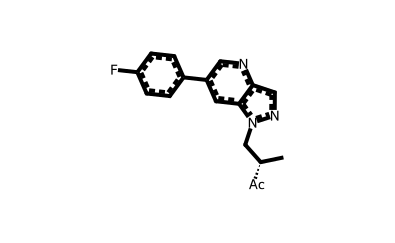 CC(=O)[C@@H](C)Cn1ncc2ncc(-c3ccc(F)cc3)cc21